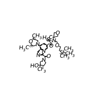 C[C@H]1CN(c2cc(S(=O)(=O)N(COCC[Si](C)(C)C)C3(C)COC3)cn3c(C(=O)N4CCC(O)(C(F)(F)F)C4)ncc23)C[C@H](C)O1